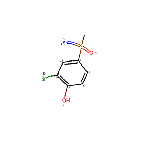 CS(=N)(=O)c1ccc(O)c(Br)c1